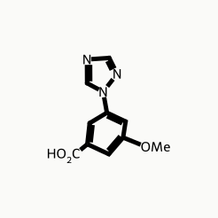 COc1cc(C(=O)O)cc(-n2cncn2)c1